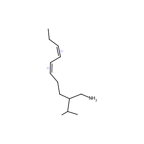 CC/C=C\C=C/CCC(CN)C(C)C